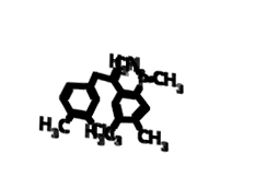 C=C(Cc1ccc(C)c(C)c1)c1cc(C)c(C)cc1P(C)N